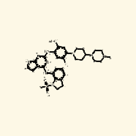 COc1cc(N2CCC(N3CCN(C)CC3)CC2)c(Cl)cc1Nc1nc(Nc2cccc3c2N(S(C)(=O)=O)CC3)c2cc[nH]c2n1